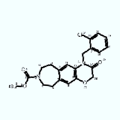 CC(C)(C)OC(=O)N1CCc2cc3c(cc2CC1)N(Cc1ccccc1Cl)C(=O)CO3